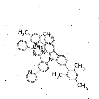 Cc1cc(C)c(-c2ccc3c4ccc(-c5c(C)cc(C)cc5C)cc4n(-c4ccc(-c5ccccn5)cc4-c4nc(-c5ccccc5)nc(-c5ccccc5)n4)c3c2)c(C)c1